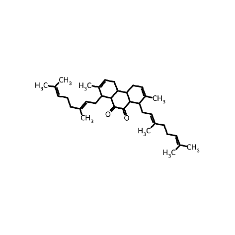 CC(C)=CCC/C(C)=C/CC1C(C)=CCC2C3CC=C(C)C(C/C=C(\C)CCC=C(C)C)C3C(=O)C(=O)C12